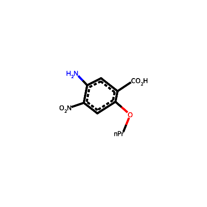 CCCOc1cc([N+](=O)[O-])c(N)cc1C(=O)O